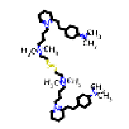 CN(C)C1CCC(CCC2CCCC=[N+]2CCCC[N+](C)(C)CCSSCC[N+](C)(C)CCCC[N+]2=CCCCC2CCC2CCC(N(C)C)CC2)CC1